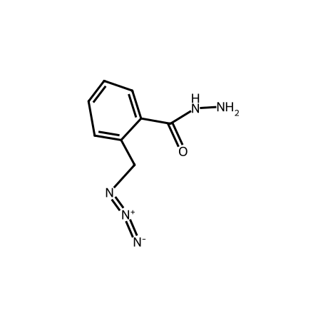 [N-]=[N+]=NCc1ccccc1C(=O)NN